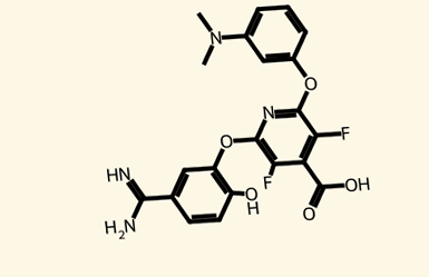 CN(C)c1cccc(Oc2nc(Oc3cc(C(=N)N)ccc3O)c(F)c(C(=O)O)c2F)c1